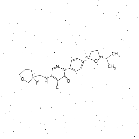 CC(C)[C@H]1CC[C@@H](c2ccc(-n3ncc(NCC4(F)CCCOC4)c(Cl)c3=O)cc2)O1